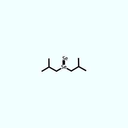 CC(C)C[Se](=[Se])CC(C)C